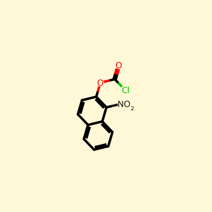 O=C(Cl)Oc1ccc2ccccc2c1[N+](=O)[O-]